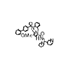 COc1ccccc1-c1ccc(C(=O)N2Cc3ccc(C(=O)NCC(c4cccnc4)N4CCCC4)n3Cc3ccccc32)cc1